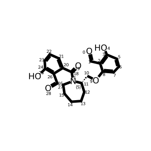 O=Cc1c(O)cccc1OC[C@@H]1CCCCCN1C(=O)c1cccc(O)c1C=O